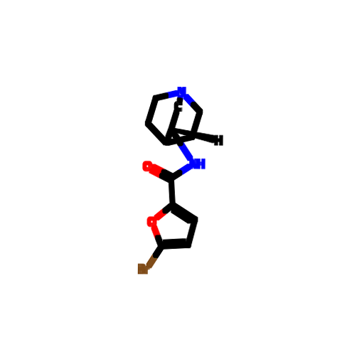 O=C(N[C@H]1CN2CCC1CC2)c1ccc(Br)o1